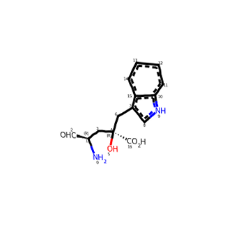 N[C@@H](C=O)C[C@](O)(Cc1c[nH]c2ccccc12)C(=O)O